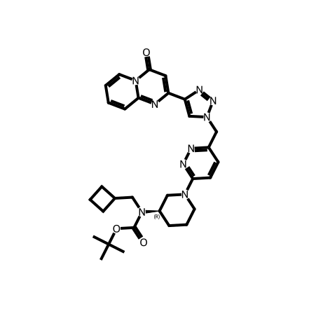 CC(C)(C)OC(=O)N(CC1CCC1)[C@@H]1CCCN(c2ccc(Cn3cc(-c4cc(=O)n5ccccc5n4)nn3)nn2)C1